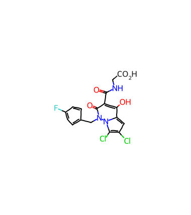 O=C(O)CNC(=O)c1c(O)c2cc(Cl)c(Cl)n2n(Cc2ccc(F)cc2)c1=O